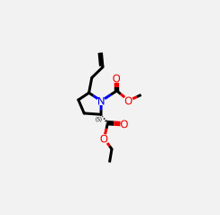 C=CCC1CC[C@@H](C(=O)OCC)N1C(=O)OC